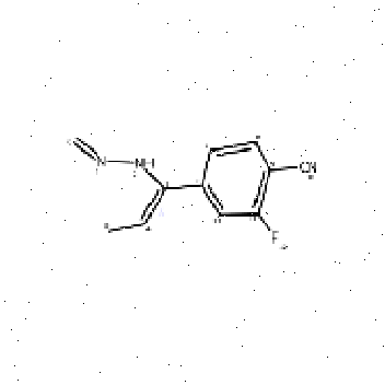 C=NN/C(=C\C)c1ccc(C#N)c(F)c1